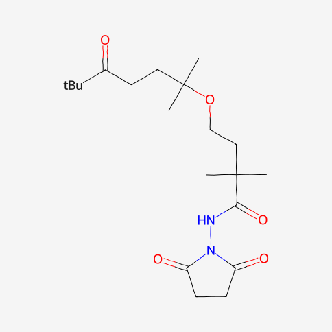 CC(C)(CCC(=O)C(C)(C)C)OCCC(C)(C)C(=O)NN1C(=O)CCC1=O